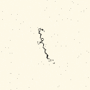 C=CCCCCCC(=O)OCCCC